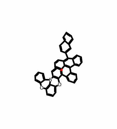 c1ccc2c(c1)Oc1cccc3c1B2c1cccc(-c2ccccc2-c2c4ccccc4c(-c4ccc5ccccc5c4)c4ccccc24)c1O3